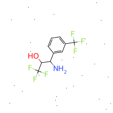 NC(c1cccc(C(F)(F)F)c1)C(O)C(F)(F)F